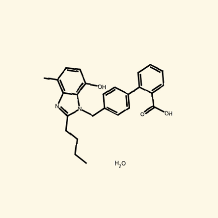 CCCCc1nc2c(C)ccc(O)c2n1Cc1ccc(-c2ccccc2C(=O)O)cc1.O